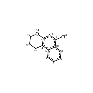 Clc1nc2c(c3ccccc13)CCCO2